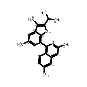 Cc1ccc2c(-c3cc(C)cc4c(C)c(C(C)C)oc34)nc(C)cc2c1